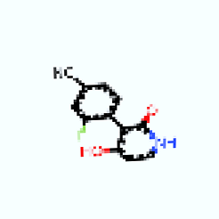 N#Cc1ccc(-c2c(O)cc[nH]c2=O)c(F)c1